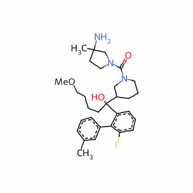 COCCCC[C@@](O)(c1cccc(F)c1-c1cccc(C)c1)C1CCCN(C(=O)N2CCC(C)(N)C2)C1